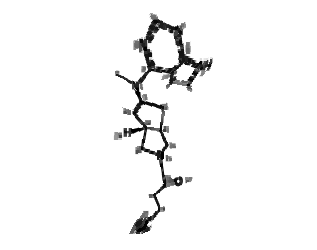 CN(c1ncnc2[nH]ccc12)[C@H]1CC2CN(C(=O)CCC#N)C[C@@H]2C1